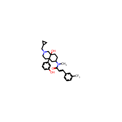 CN(C(=O)/C=C/c1cccc(C(F)(F)F)c1)C1CCC2(O)CN(CC3CC3)CCC2(c2cccc(O)c2)C1